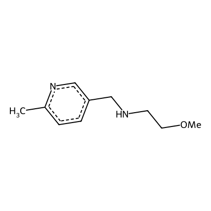 COCCNCc1ccc(C)nc1